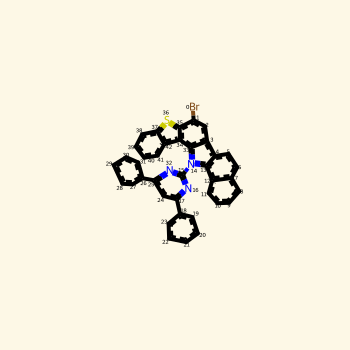 Brc1cc2c3ccc4ccccc4c3n(-c3nc(-c4ccccc4)cc(-c4ccccc4)n3)c2c2c1sc1ccccc12